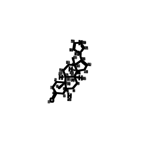 C[C@]12CCC(=O)C[C@@H]1CC[C@@H]1[C@@H]2CC[C@]2(C)C(n3ccnc3)=CC[C@@H]12